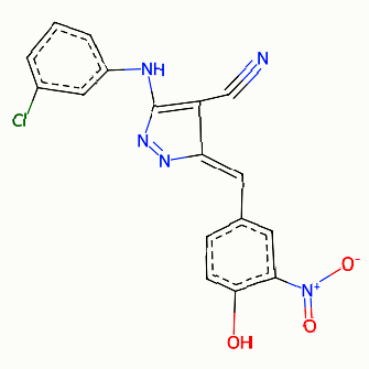 N#CC1=C(Nc2cccc(Cl)c2)N=NC1=Cc1ccc(O)c([N+](=O)[O-])c1